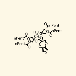 CCCCCC(=O)OCC(C)(COC(=O)CCCCC)OCC1(COC(C)(COC(=O)CCCCC)COC(=O)CCCCC)COc2cscc2OC1